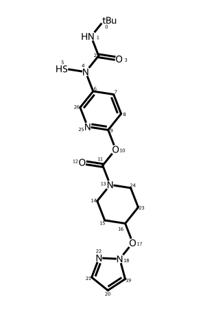 CC(C)(C)NC(=O)N(S)c1ccc(OC(=O)N2CCC(On3cccn3)CC2)nc1